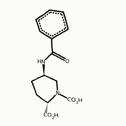 O=C(N[C@@H]1CC[C@@H](C(=O)O)N(C(=O)O)C1)c1ccccc1